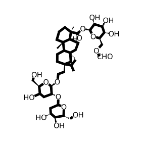 CC1C[C@@]23CC[C@@H]4[C@](C)(C(=O)O[C@@H]5O[C@H](COC=O)[C@@H](O)[C@H](O)[C@H]5O)CCC[C@@]4(C)C2CC[C@]1(CCO[C@@H]1O[C@H](CO)C(O)C[C@H]1OC1C[C@@H](O)[C@H](O)[C@@H](CO)O1)C3